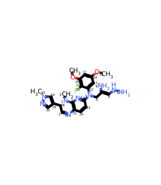 C=Nc1nc(N(C/C(N)=C/NN)c2cc(OC)cc(OC)c2F)ccc1/N=C\Cc1cnn(C)c1